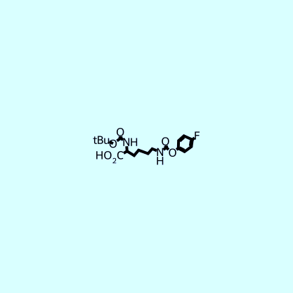 CC(C)(C)OC(=O)NC(CCCCNC(=O)Oc1ccc(F)cc1)C(=O)O